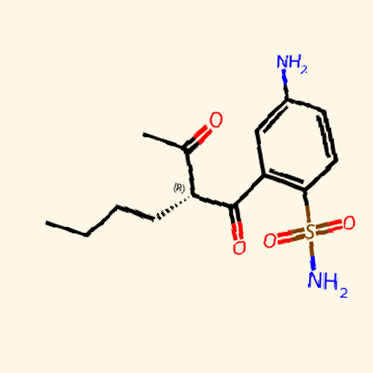 CCCC[C@H](C(C)=O)C(=O)c1cc(N)ccc1S(N)(=O)=O